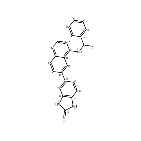 CC(Nc1ncnc2ccc(-c3cnc4[nH]c(=O)[nH]c4c3)cc12)c1ccccc1